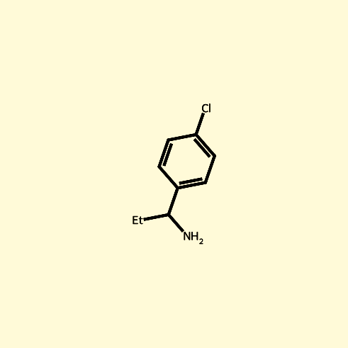 [CH2]CC(N)c1ccc(Cl)cc1